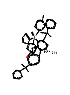 Cl.Cl.[CH2]=[Ti]([C]1=CC=CC1)([c]1ccc(C)cc1)([c]1ccc(C)cc1)[c]1c(C(C)(C)c2ccccc2)ccc2c1Cc1cc(C(C)(C)c3ccccc3)ccc1-2